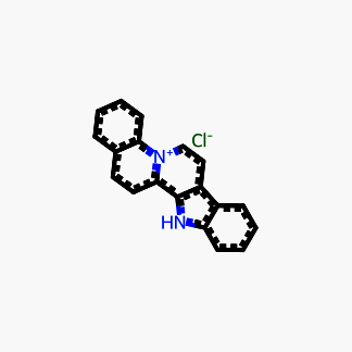 [Cl-].c1ccc2c(c1)ccc1c3[nH]c4ccccc4c3cc[n+]21